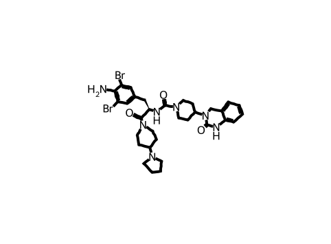 Nc1c(Br)cc(C[C@@H](NC(=O)N2CCC(N3Cc4ccccc4NC3=O)CC2)C(=O)N2CCC(N3CCCC3)CC2)cc1Br